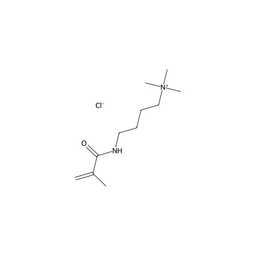 C=C(C)C(=O)NCCCC[N+](C)(C)C.[Cl-]